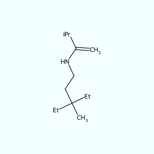 C=C(NCCC(C)(CC)CC)C(C)C